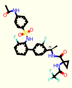 CC(=O)Nc1ccc(S(=O)(=O)Nc2c(F)cccc2-c2ccc([C@@H](C)NC(=O)C3(NC(=O)C(F)(F)F)CC3)c(F)c2)cc1